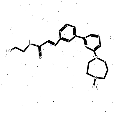 CN1CCCN(c2cncc(-c3cccc(/C=C/C(=O)NCCO)c3)n2)CC1